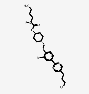 CCCCc1cnc(-c2ccc(OC[C@H]3CC[C@H](OC(=O)[C@@H](F)CCCC)CC3)c(Br)c2)nc1